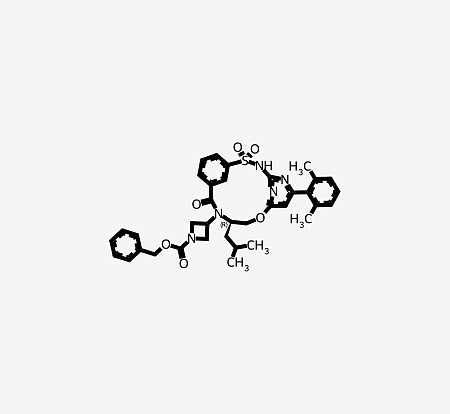 Cc1cccc(C)c1-c1cc2nc(n1)NS(=O)(=O)c1cccc(c1)C(=O)N(C1CN(C(=O)OCc3ccccc3)C1)[C@H](CC(C)C)CO2